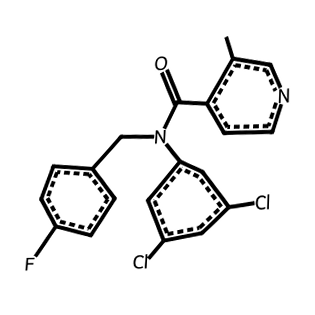 Cc1cnccc1C(=O)N(Cc1ccc(F)cc1)c1cc(Cl)cc(Cl)c1